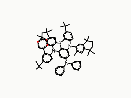 Cc1cc2c(cc1N1c3ccc(C(C)(C)C)cc3B3c4cc5c(cc4N(c4ccc(C(C)(C)C)cc4-c4ccccc4)c4cc(N(c6ccccc6)c6ccccc6)cc1c43)C(C)(C)CC5(C)C)C(C)(C)CCC2(C)C